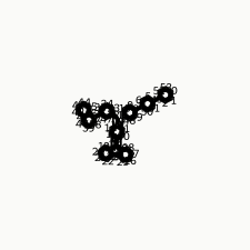 c1ccc(-c2ccc(-c3ccc(N(c4ccc(-n5c6ccccc6c6ccccc65)cc4)c4cccc(-c5cccc6ccccc56)c4)cc3)cc2)cc1